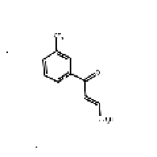 O=C(O)C=CC(=O)c1cccc(C(F)(F)F)c1